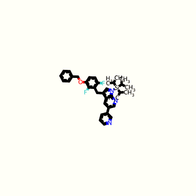 CC(C)[Si](C(C)C)(C(C)C)n1cc(Cc2c(F)ccc(OCc3ccccc3)c2F)c2cc(-c3cccnc3)cnc21